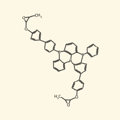 CC1OC1Oc1ccc(-c2ccc(B3c4ccccc4N4c5cc(-c6ccc(OC7OC7C)cc6)ccc5B(c5ccccc5)c5cccc3c54)cc2)cc1